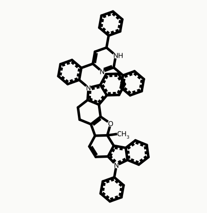 CC12OC3=C(CCc4c3c3ccccc3n4-c3ccccc3C3=CC(c4ccccc4)NC(c4ccccc4)=N3)C1C=Cc1c2c2ccccc2n1-c1ccccc1